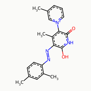 Cc1ccc(/N=N/c2c(O)[nH]c(=O)c(-[n+]3cccc(C)c3)c2C)c(C)c1